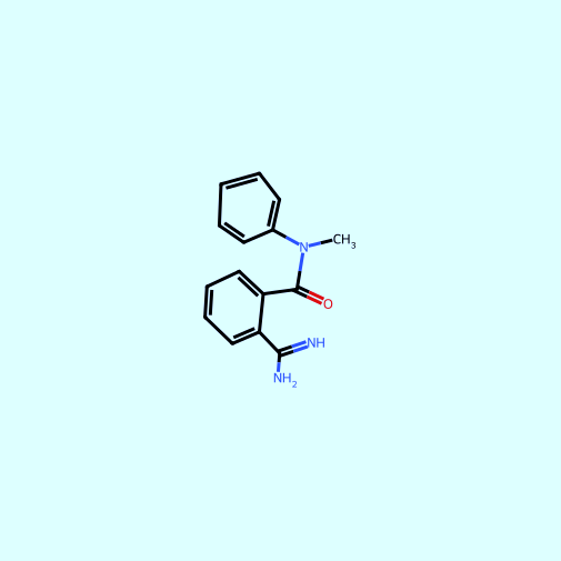 CN(C(=O)c1ccccc1C(=N)N)c1ccccc1